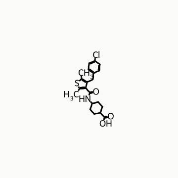 Cc1sc(C)c(C(=O)NC2CCC(C(=O)O)CC2)c1Cc1ccc(Cl)cc1